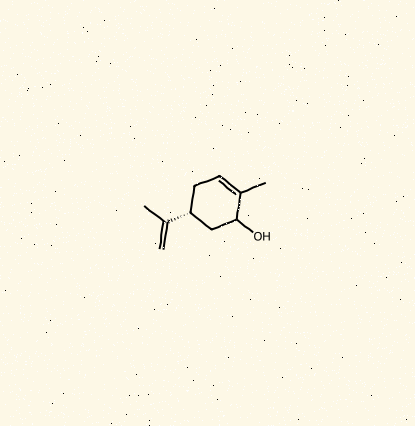 C=C(C)[C@@H]1CC=C(C)C(O)C1